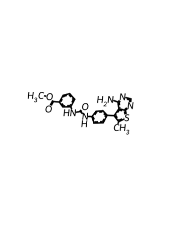 COC(=O)c1cccc(NC(=O)Nc2ccc(-c3c(C)sc4ncnc(N)c34)cc2)c1